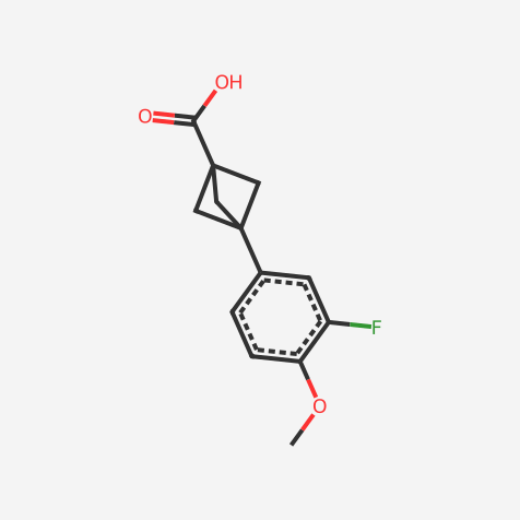 COc1ccc(C23CC(C(=O)O)(C2)C3)cc1F